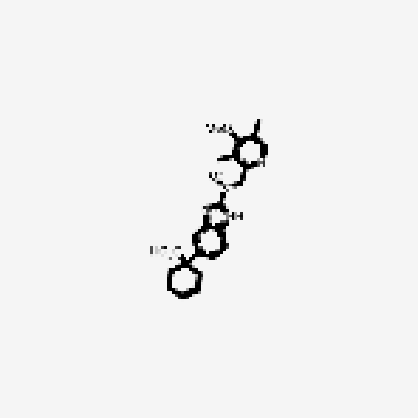 COc1c(C)cnc(C[S+]([O-])c2nc3cc(C4(C(=O)O)CC=CCC4)ccc3[nH]2)c1C